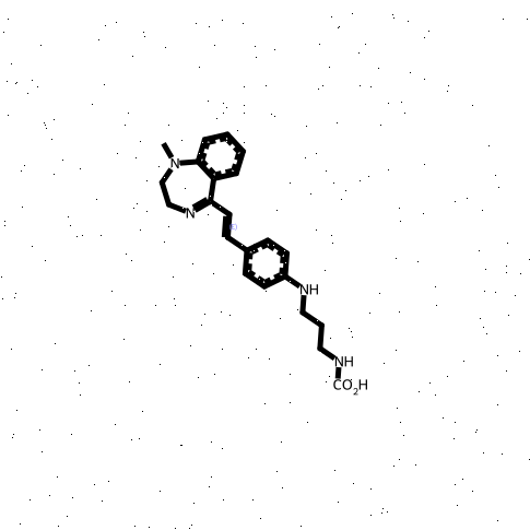 CN1CCN=C(/C=C/c2ccc(NCCCNC(=O)O)cc2)c2ccccc21